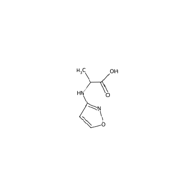 CC(Nc1ccon1)C(=O)O